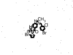 Cc1nc2ccc(C(=O)N([SH]3C=CC=C3Br)[SH](=O)=O)cc2n1Cc1ccc(Br)cc1Cl